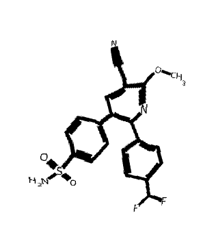 COc1nc(-c2ccc(C(F)F)cc2)c(-c2ccc(S(N)(=O)=O)cc2)cc1C#N